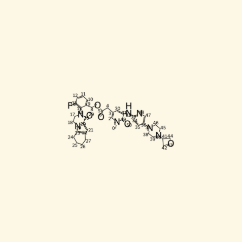 Cn1cc(CC(=O)OCc2cccc(F)c2N2CCn3c(cc4c3CCCC4)C2=O)cc(Nc2ccc(N3CCN(C4COC4)CC3)cn2)c1=O